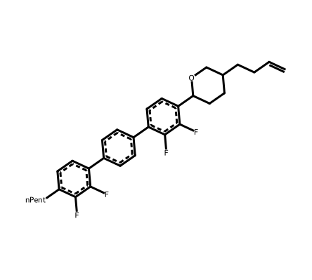 C=CCCC1CCC(c2ccc(-c3ccc(-c4ccc(CCCCC)c(F)c4F)cc3)c(F)c2F)OC1